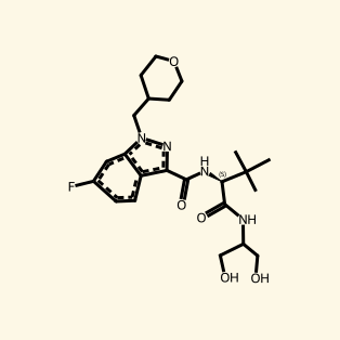 CC(C)(C)[C@H](NC(=O)c1nn(CC2CCOCC2)c2cc(F)ccc12)C(=O)NC(CO)CO